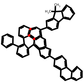 CC1(C)c2ccccc2-c2ccc(-c3cccc(N(c4ccc(-c5ccc6c(ccc7ccccc76)c5)cc4)c4cccc(-c5ccccc5)c4-c4ccccc4-c4ccccc4)c3)cc21